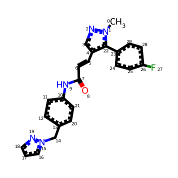 Cn1ncc(C=CC(=O)Nc2ccc(Cn3cccn3)cc2)c1-c1ccc(F)cc1